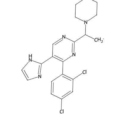 [CH2]C(c1ncc(-c2ncc[nH]2)c(-c2ccc(Cl)cc2Cl)n1)N1CCOCC1